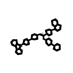 C(=C(/Cc1ccc(-c2ccccc2)cc1)c1ccc(-c2cccc3ccccc23)cc1)/c1ccc(-c2ccc(-n3c4ccccc4c4ccccc43)cc2)cc1